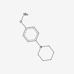 CC(C)(C)Oc1ccc(N2CCCCC2)cc1